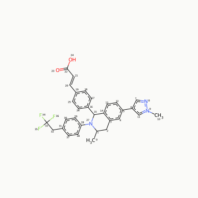 CC1Cc2cc(-c3cnn(C)c3)ccc2C(c2ccc(/C=C/C(=O)O)cc2)N1c1ccc(CC(F)(F)F)cc1